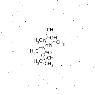 CC/N=C(/N(CC)C(=O)OC(C)(C)C)N(C)C(O)CC